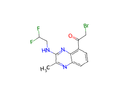 Cc1nc2cccc(C(=O)CBr)c2nc1NCC(F)F